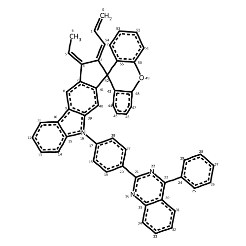 C=C/C=C1\C(=C/C)c2cc3c4ccccc4n(-c4ccc(-c5nc(-c6ccccc6)c6ccccc6n5)cc4)c3cc2C12c1ccccc1Oc1ccccc12